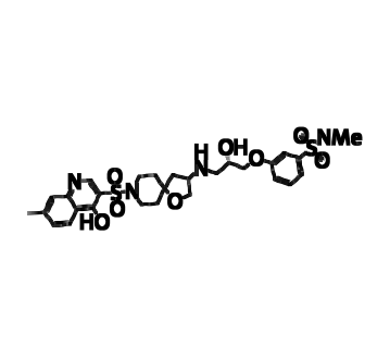 CNS(=O)(=O)c1cccc(OC[C@@H](O)CNC2COC3(CCN(S(=O)(=O)c4cnc5cc(C)ccc5c4O)CC3)C2)c1